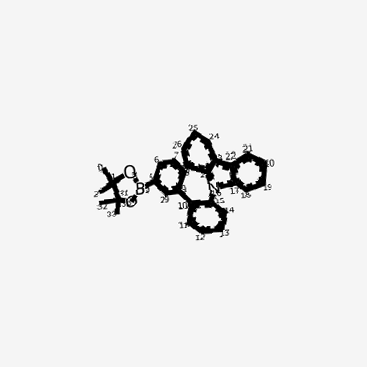 CC1(C)OB(c2cccc(-c3ccccc3-n3c4ccccc4c4ccccc43)c2)OC1(C)C